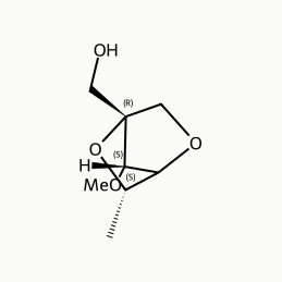 CO[C@H]1C2OC[C@@]1(CO)O[C@H]2C